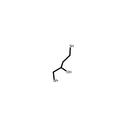 CCCCC(O)CCS